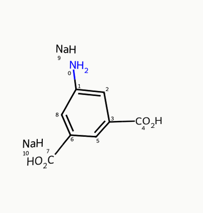 Nc1cc(C(=O)O)cc(C(=O)O)c1.[NaH].[NaH]